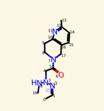 C/C=N\N(CC(=O)N1CCc2nc(C)ccc2C1)NC